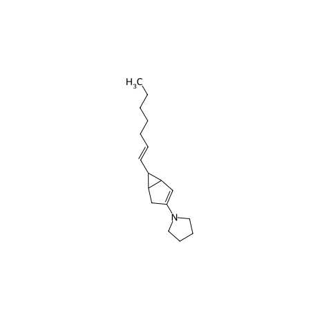 CCCCC/C=C/C1C2C=C(N3CCCC3)CC21